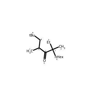 CCCCCCC(C)(CC)C(=O)C(C)CC(C)(C)C